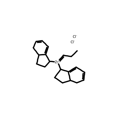 CC[CH]=[Zr+2]([CH]1CCC2CC=CC=C21)[CH]1CCC2CC=CC=C21.[Cl-].[Cl-]